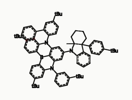 CC(C)(C)c1ccc(C23CCCCC2(C)N(c2cc4c5c(c2)N(c2ccc(C(C)(C)C)cc2-c2ccccc2)c2cc(C(C)(C)C)ccc2B5c2ccc(C(C)(C)C)cc2N4c2cccc(C(C)(C)C)c2)c2ccccc23)cc1